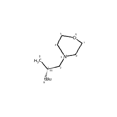 C[C@H](CN1CCOCC1)C(C)(C)C